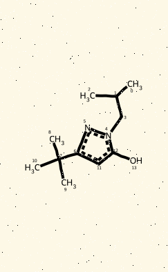 CC(C)Cn1nc(C(C)(C)C)cc1O